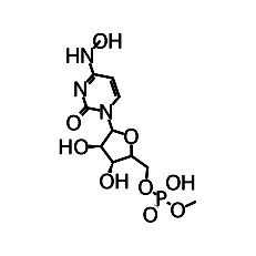 COP(=O)(O)OCC1OC(n2ccc(NO)nc2=O)[C@H](O)[C@@H]1O